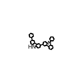 c1ccc(-c2ccc3[nH]c4ccc(-c5ccc6c(c5)c5ccccc5n6-c5ccccc5)cc4c3c2)cc1